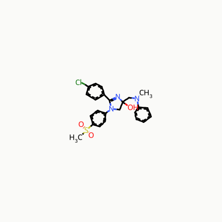 CN(CC1(O)CN(c2ccc(S(C)(=O)=O)cc2)C(c2ccc(Cl)cc2)=N1)c1ccccc1